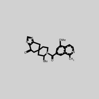 COc1cc(C(=O)N2CCC3(CC(=O)c4ncsc4C3)CC2C(C)(C)C)cc2c(C)nccc12